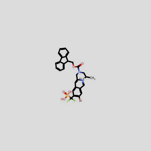 CC(C)CN(Cc1cc2cc(C(F)(F)P(=O)(O)O)c(Br)cc2cn1)C(=O)OCC1c2ccccc2-c2ccccc21